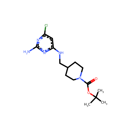 CC(C)(C)OC(=O)N1CCC(CNc2cc(Cl)nc(N)n2)CC1